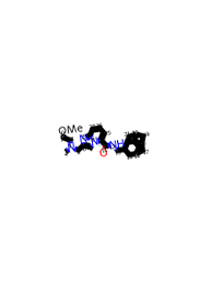 COCCN(C)Cc1cn2c(C(=O)NCC34CC5CC6CC(C3)C6(C5)C4)cccc2n1